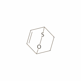 C1=CC2CCC1OS2